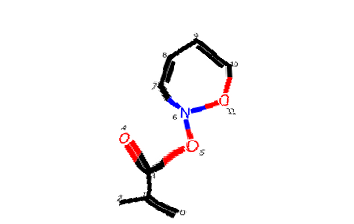 C=C(C)C(=O)ON1C=CC=CO1